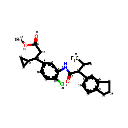 CC(C(C(=O)Nc1cc(C(CC(=O)OC(C)(C)C)C2CC2)ccc1Cl)c1ccc2c(c1)CCC2)C(F)(F)F